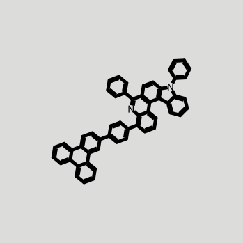 c1ccc(-c2nc3c(-c4ccc(-c5ccc6c7ccccc7c7ccccc7c6c5)cc4)cccc3c3c2ccc2c3c3ccccc3n2-c2ccccc2)cc1